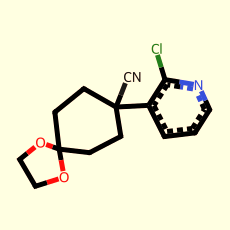 N#CC1(c2cccnc2Cl)CCC2(CC1)OCCO2